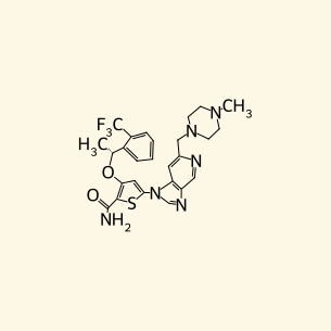 C[C@@H](Oc1cc(-n2cnc3cnc(CN4CCN(C)CC4)cc32)sc1C(N)=O)c1ccccc1C(F)(F)F